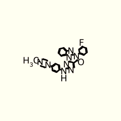 CN1CCN(c2ccc(Nc3ncc4c(=O)n(-c5cccc(F)c5)c5nc6ccccc6n5c4n3)cc2)CC1